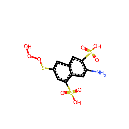 Nc1cc2c(S(=O)(=O)O)cc(SOOO)cc2cc1S(=O)(=O)O